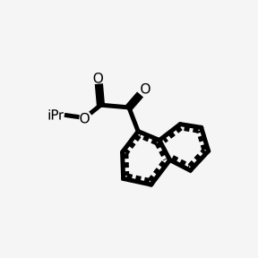 CC(C)OC(=O)C(=O)c1cccc2ccccc12